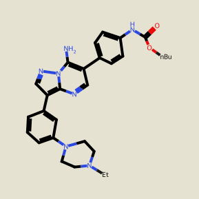 CCCCOC(=O)Nc1ccc(-c2cnc3c(-c4cccc(N5CCN(CC)CC5)c4)cnn3c2N)cc1